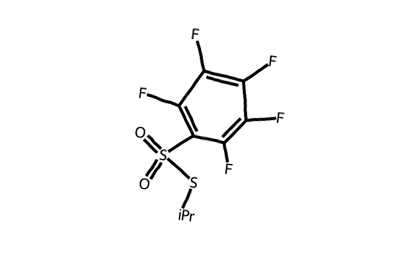 CC(C)SS(=O)(=O)c1c(F)c(F)c(F)c(F)c1F